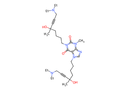 CCN(CC)CC#CC(C)(O)CCCCn1c(=O)c2c(ncn2CCCCC(C)(O)C#CCN(CC)CC)n(C)c1=O